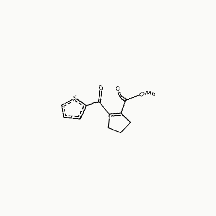 COC(=O)C1=C(C(=O)c2cccs2)CCC1